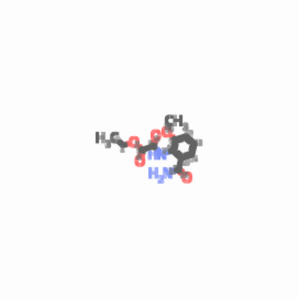 CCOC(=O)C(=O)Nc1c(OC)cccc1C(N)=O